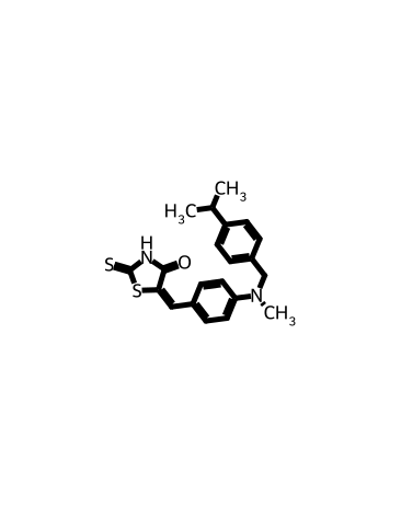 CC(C)c1ccc(CN(C)c2ccc(C=C3SC(=S)NC3=O)cc2)cc1